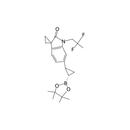 CC(F)(F)CN1C(=O)C2(CC2)c2ccc(C3C[C@@H]3B3OC(C)(C)C(C)(C)O3)cc21